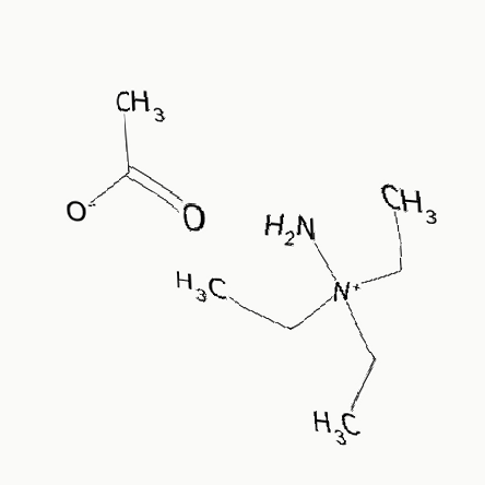 CC(=O)[O-].CC[N+](N)(CC)CC